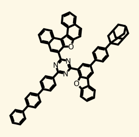 c1ccc(-c2ccc(-c3ccc(-c4nc(-c5cc(-c6ccc(C78CC9CC(CC(C9)C7)C8)cc6)cc6c5oc5ccccc56)nc(-c5cc6ccccc6c6c5oc5ccc7ccccc7c56)n4)cc3)cc2)cc1